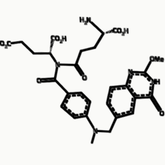 COc1nc2ccc(CN(C)c3ccc(C(=O)N(C(=O)CC[C@H](N)C(=O)O)[C@H](CCC(=O)O)C(=O)O)cc3)cc2c(=O)[nH]1